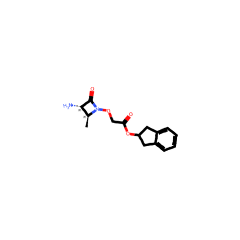 C[C@H]1[C@H](N)C(=O)N1OCC(=O)OC1Cc2ccccc2C1